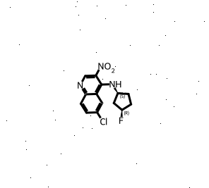 O=[N+]([O-])c1cnc2ccc(Cl)cc2c1N[C@H]1CC[C@@H](F)C1